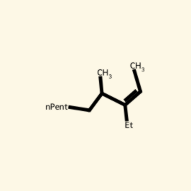 CC=C(CC)C(C)CCCCCC